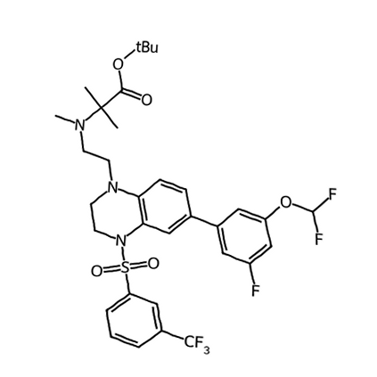 CN(CCN1CCN(S(=O)(=O)c2cccc(C(F)(F)F)c2)c2cc(-c3cc(F)cc(OC(F)F)c3)ccc21)C(C)(C)C(=O)OC(C)(C)C